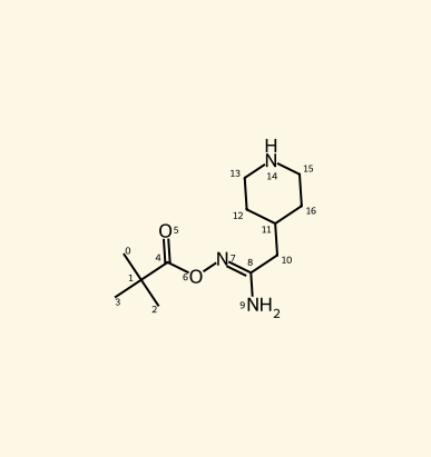 CC(C)(C)C(=O)ON=C(N)CC1CCNCC1